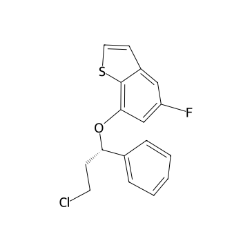 Fc1cc(O[C@@H](CCCl)c2ccccc2)c2sccc2c1